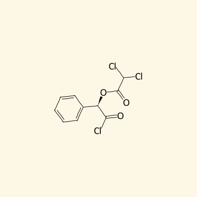 O=C(O[C@@H](C(=O)Cl)c1ccccc1)C(Cl)Cl